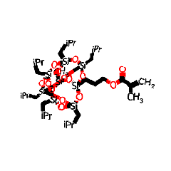 C=C(C)C(=O)OCCC[Si]12O[Si]3(C)O[Si]4(CC(C)C)O[Si](CC(C)C)(O1)O[Si]1(CC(C)C)O[Si](CC(C)C)(O2)O[Si](CC(C)C)(O3)O[Si](CC(C)C)(O4)O1